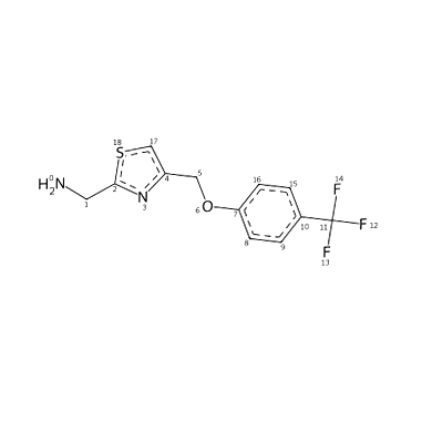 NCc1nc(COc2ccc(C(F)(F)F)cc2)cs1